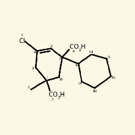 CC1(C(=O)O)CC(Cl)=CC(C(=O)O)(C2CCCCC2)C1